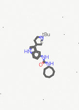 CC(C)(C)N1CCC(c2c[nH]c3ccc(NC(=O)NC4CCCCCCC4)cc23)CC1